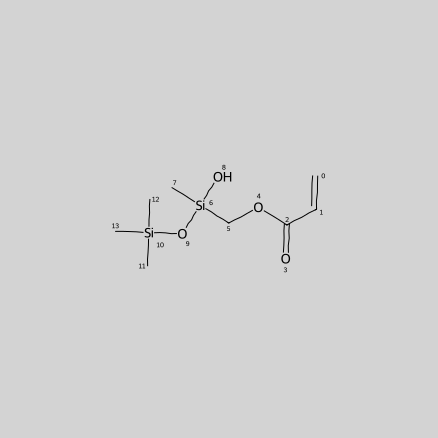 C=CC(=O)OC[Si](C)(O)O[Si](C)(C)C